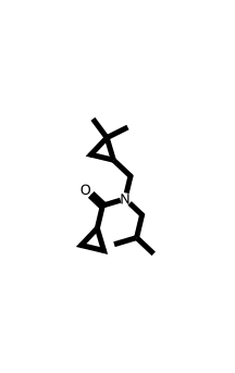 CC(C)CN(CC1CC1(C)C)C(=O)C1CC1